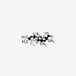 CC(C)(C)CC(C)(C)NC(=O)C(C)(C)CC(C)(C)C(=O)O